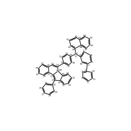 c1ccc(-c2cccc(N(c3ccc(-c4cc5ccccc5c5c(-c6ccccc6)c6ccccc6n45)cc3)c3cccc4ccccc34)c2)cc1